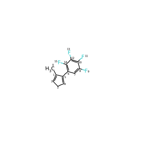 CC1=CC[C]=C1c1cc(F)c(F)c(F)c1F